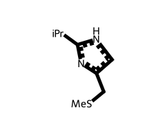 [CH2]SCc1c[nH]c(C(C)C)n1